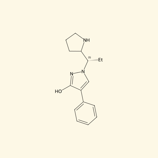 CC[C@@H](C1CCCN1)n1cc(-c2ccccc2)c(O)n1